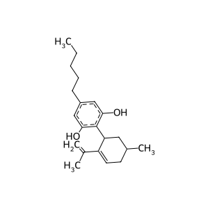 C=C(C)C1=CCC(C)CC1c1c(O)cc(CCCCC)cc1O